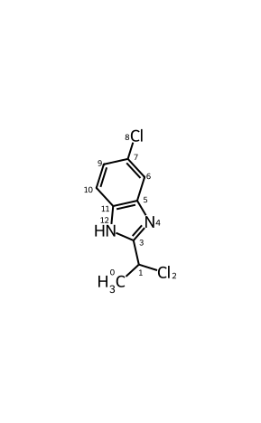 CC(Cl)c1nc2cc(Cl)ccc2[nH]1